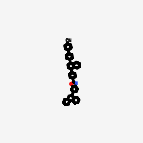 N#Cc1ccc(-c2ccc(-c3ccc(-c4ccc(-c5nc6ccc(-c7cc8ccccc8c8ccccc78)cc6o5)cc4)c4ccccc34)cc2)cc1